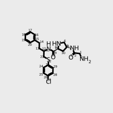 NCC(=O)N[C@H]1CN[C@H](C(=O)NC(CCc2ccccc2)CSc2ccc(Cl)cc2)C1